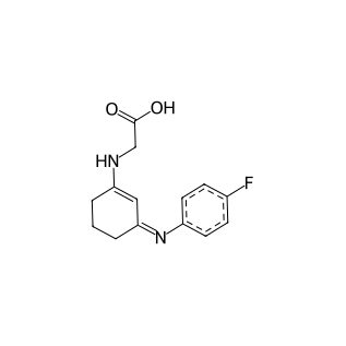 O=C(O)CNC1=C/C(=N\c2ccc(F)cc2)CCC1